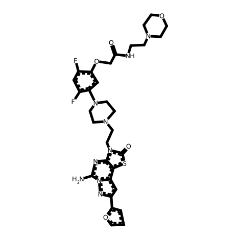 Nc1nc2c(sc(=O)n2CCN2CCN(c3cc(OCC(=O)NCCN4CCOCC4)c(F)cc3F)CC2)c2cc(-c3ccco3)nn12